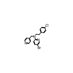 Clc1ccc(CCN(Cc2ccncc2)c2[c]cc(Br)cn2)cc1